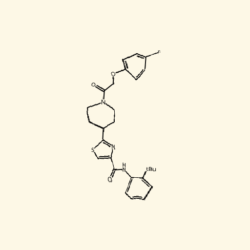 CC(C)(C)c1ccccc1NC(=O)c1csc(C2CCN(C(=O)COc3ccc(F)cc3)CC2)n1